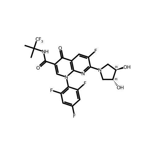 CC(C)(NC(=O)c1cn(-c2c(F)cc(F)cc2F)c2nc(N3C[C@@H](O)[C@H](O)C3)c(F)cc2c1=O)C(F)(F)F